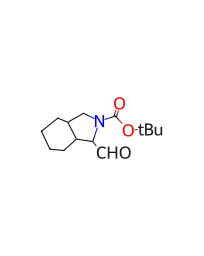 CC(C)(C)OC(=O)N1CC2CCCCC2C1C=O